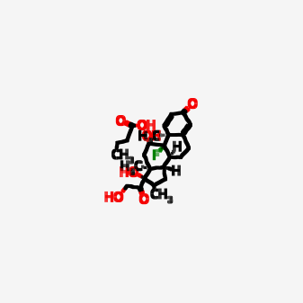 CCCC(=O)O.C[C@@H]1C[C@H]2[C@@H]3CCC4=CC(=O)C=C[C@]4(C)[C@@]3(F)[C@@H](O)C[C@]2(C)[C@@]1(O)C(=O)CO